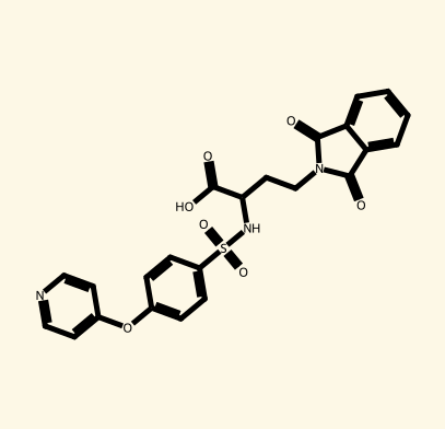 O=C(O)C(CCN1C(=O)c2ccccc2C1=O)NS(=O)(=O)c1ccc(Oc2ccncc2)cc1